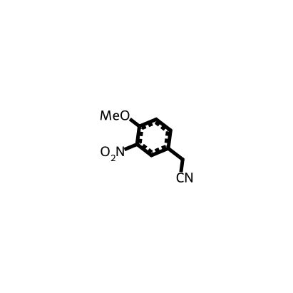 COc1ccc(CC#N)cc1[N+](=O)[O-]